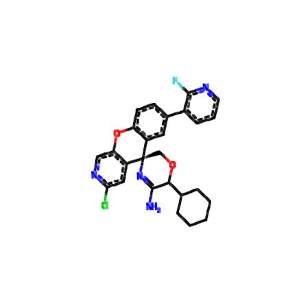 NC1=N[C@@]2(COC1C1CCCCC1)c1cc(-c3cccnc3F)ccc1Oc1cnc(Cl)cc12